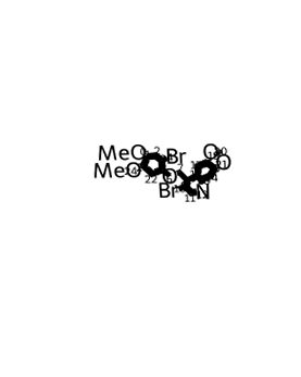 COc1cc(Br)c(OCc2c(Br)cnc3cc4c(cc23)OCO4)cc1OC